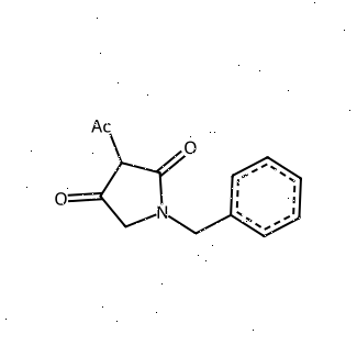 CC(=O)C1C(=O)CN(Cc2ccccc2)C1=O